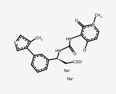 Cc1cscc1-c1cccc([C@H](CC(=O)[O-])NC(=O)Nc2c([O-])ccn(C)c2=O)c1.[Na+].[Na+]